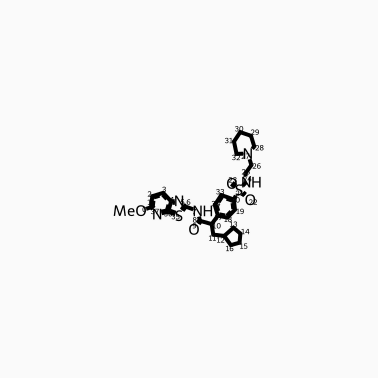 COc1ccc2nc(NC(=O)C(CC3CCCC3)c3ccc(S(=O)(=O)NCCN4CCCCC4)cc3)sc2n1